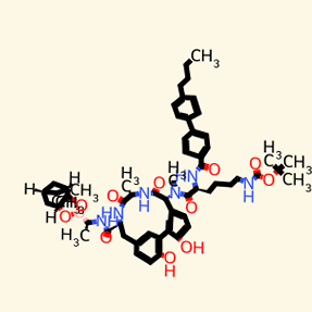 CCCCc1ccc(-c2ccc(C(=O)N[C@@H](CCCCNC(=O)OC(C)(C)C)C(=O)N(C)[C@@H]3C(=O)N[C@@H](C)C(=O)N[C@H](C(=O)N[C@@H](C)B4O[C@@H]5C[C@@H]6C[C@@H](C6(C)C)[C@]5(C)O4)Cc4ccc(O)c(c4)-c4cc3ccc4O)cc2)cc1